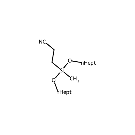 CCCCCCCO[Si](C)(CCC#N)OCCCCCCC